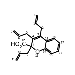 C=CCC1=C(CC=C)C(CC=C)(C(=O)O)Oc2ccccc21